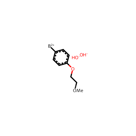 [B+2]c1ccc(OCCOC)cc1.[OH-].[OH-]